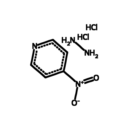 Cl.Cl.NN.O=[N+]([O-])c1ccncc1